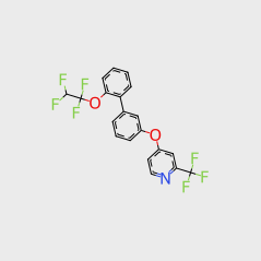 FC(F)C(F)(F)Oc1ccccc1-c1cccc(Oc2ccnc(C(F)(F)F)c2)c1